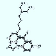 CCN(CC)CCCCc1ccc2ncn3c4ccc(O)cc4c(=O)c1c23